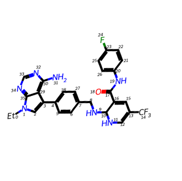 CCn1cc(-c2ccc(CNC3NC=C(C(F)(F)F)C=C3C(=O)Nc3ccc(F)cc3)cc2)c2c(N)ncnc21